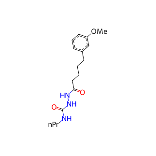 CCCNC(=O)NNC(=O)CCCCc1cccc(OC)c1